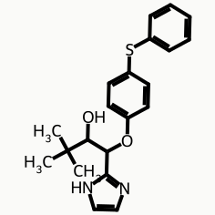 CC(C)(C)C(O)C(Oc1ccc(Sc2ccccc2)cc1)c1ncc[nH]1